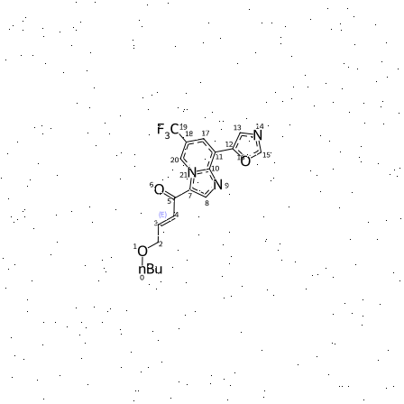 CCCCOC/C=C/C(=O)c1cnc2c(-c3cnco3)cc(C(F)(F)F)cn12